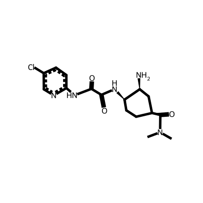 CN(C)C(=O)C1CC[C@@H](NC(=O)C(=O)Nc2ccc(Cl)cn2)[C@@H](N)C1